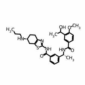 CCCN[C@H]1CCc2nc(NC(=O)c3cccc([C@@H](C)NC(=O)c4ccc(OC)c(C(C)O)c4)c3)sc2C1